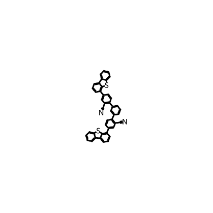 N#Cc1cc(-c2cccc3c2sc2ccccc23)ccc1-c1cccc(-c2ccc(-c3cccc4c3sc3ccccc34)cc2C#N)c1